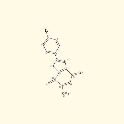 CCc1ccc(-c2nc3c(o2)C(=O)C(OC)=CC3=O)cc1